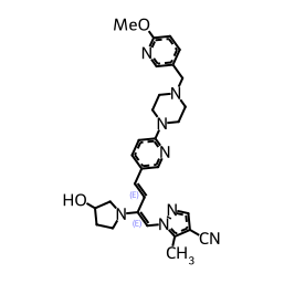 COc1ccc(CN2CCN(c3ccc(/C=C/C(=C\n4ncc(C#N)c4C)N4CCC(O)C4)cn3)CC2)cn1